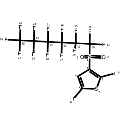 O=S(=O)(c1cc(I)sc1I)C(F)(F)C(F)(F)C(F)(F)C(F)(F)C(F)(F)C(F)(F)F